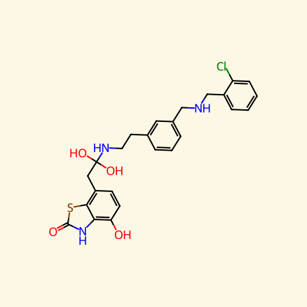 O=c1[nH]c2c(O)ccc(CC(O)(O)NCCc3cccc(CNCc4ccccc4Cl)c3)c2s1